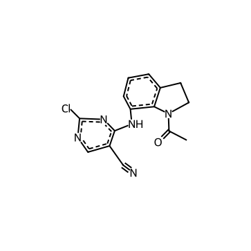 CC(=O)N1CCc2cccc(Nc3nc(Cl)ncc3C#N)c21